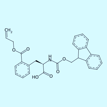 C=CCOC(=O)c1ccccc1C[C@@H](NC(=O)OCC1c2ccccc2-c2ccccc21)C(=O)O